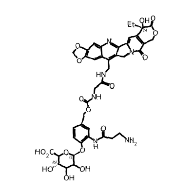 CC[C@@]1(O)C(=O)OCc2c1cc1n(c2=O)Cc2c-1nc1cc3c(cc1c2CNC(=O)CNC(=O)OCc1ccc(O[C@@H]2OC(C(=O)O)[C@@H](O)C(O)C2O)c(NC(=O)CCN)c1)OCO3